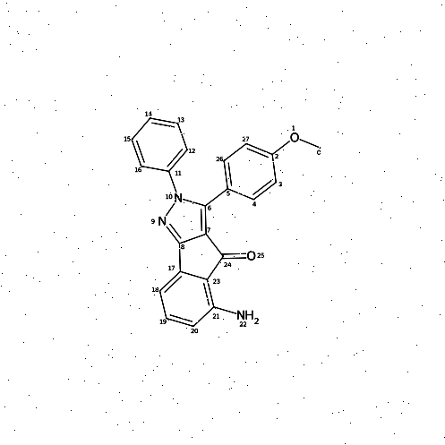 COc1ccc(-c2c3c(nn2-c2ccccc2)-c2cccc(N)c2C3=O)cc1